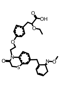 CCOC(Cc1ccc(OCCN2C(=O)CSc3cc(CC4=CC=CCC4=NOC)ccc32)cc1)C(=O)O